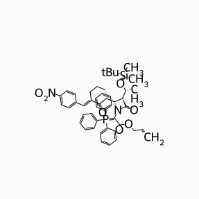 C=CCOC(=O)C(N1C(=O)[C@H]([C@@H](C)O[Si](C)(C)C(C)(C)C)[C@H]1[C@H]1CCCC(=Cc2ccc([N+](=O)[O-])cc2)C1=O)=P(c1ccccc1)(c1ccccc1)c1ccccc1